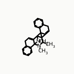 CC1N(C)C23C(=CCc4ccccc42)C2(N3C)C34C(=CCc5ccccc53)C142